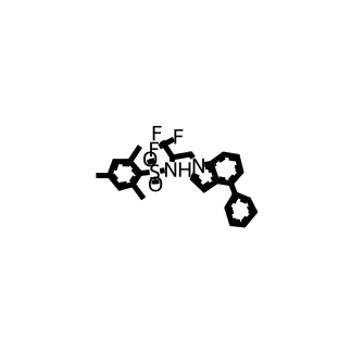 Cc1cc(C)c(S(=O)(=O)NC(Cn2ccc3c(-c4ccccc4)cccc32)C(F)(F)F)c(C)c1